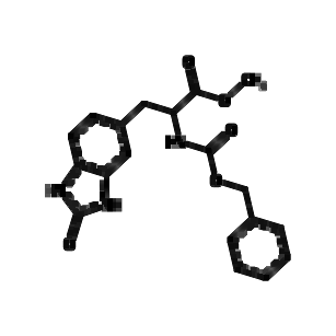 COC(=O)C(Cc1ccc2[nH]c(=O)[nH]c2c1)NC(=O)OCc1ccccc1